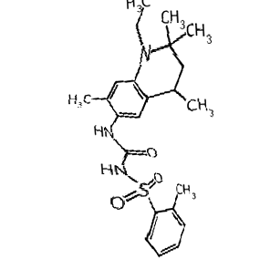 CCN1c2cc(C)c(NC(=O)NS(=O)(=O)c3ccccc3C)cc2C(C)CC1(C)C